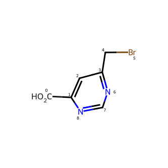 O=C(O)c1cc(CBr)ncn1